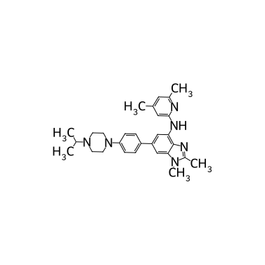 Cc1cc(C)nc(Nc2cc(-c3ccc(N4CCN(C(C)C)CC4)cc3)cc3c2nc(C)n3C)c1